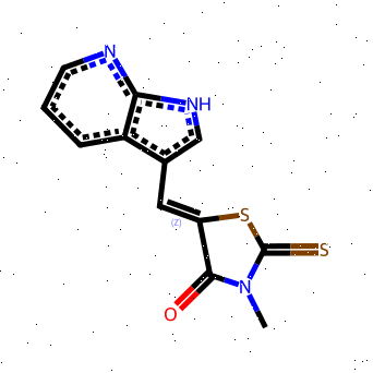 CN1C(=O)/C(=C/c2c[nH]c3ncccc23)SC1=S